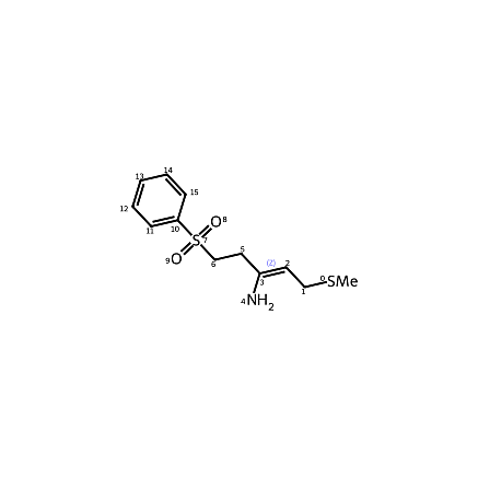 CSC/C=C(\N)CCS(=O)(=O)c1ccccc1